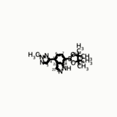 Cn1ncc(-c2ccc(B3OC(C)(C)C(C)(C)O3)c3[nH]ncc23)n1